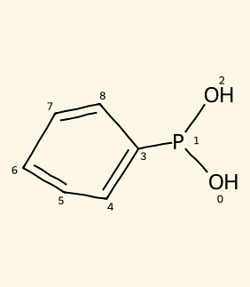 OP(O)c1ccccc1